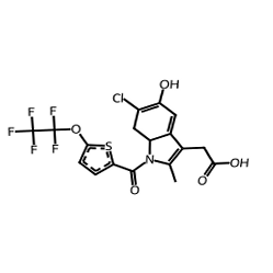 CC1=C(CC(=O)O)C2=CC(O)=C(Cl)CC2N1C(=O)c1ccc(OC(F)(F)C(F)(F)F)s1